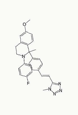 COc1ccc2c(c1)CCN(c1ccc(F)cc1)C2(C)c1ccc(C=Cc2nnnn2C)cc1